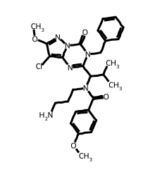 COc1ccc(C(=O)N(CCCN)C(c2nc3c(Cl)c(OC)nn3c(=O)n2Cc2ccccc2)C(C)C)cc1